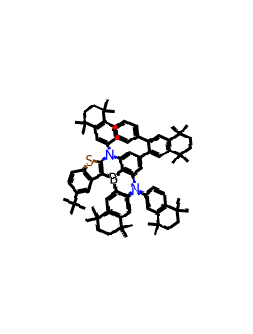 CC(C)(C)c1ccc2sc3c(c2c1)B1c2cc4c(cc2N(c2ccc5c(c2)C(C)(C)CCC5(C)C)c2cc(-c5cc6c(cc5-c5ccccc5)C(C)(C)CCC6(C)C)cc(c21)N3c1ccc2c(c1)C(C)(C)CCC2(C)C)C(C)(C)CCC4(C)C